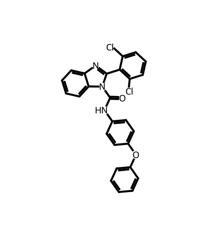 O=C(Nc1ccc(Oc2ccccc2)cc1)n1c(-c2c(Cl)cccc2Cl)nc2ccccc21